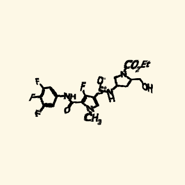 CCOC(=O)N1CC(N[S+]([O-])c2cn(C)c(C(=O)Nc3cc(F)c(F)c(F)c3)c2F)CC1CO